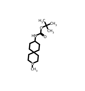 CN1CCC2(CCC(NC(=O)OC(C)(C)C)CC2)CC1